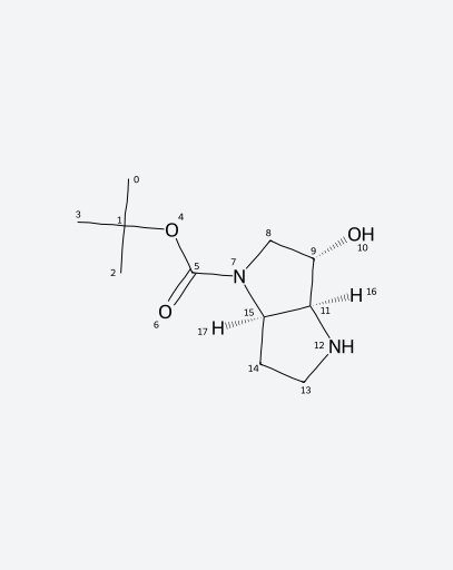 CC(C)(C)OC(=O)N1C[C@H](O)[C@H]2NCC[C@H]21